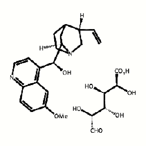 C=C[C@@H]1CN2CCC1C[C@@H]2[C@@H](O)c1ccnc2ccc(OC)cc12.O=C[C@H](O)[C@@H](O)[C@@H](O)[C@H](O)C(=O)O